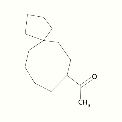 CC(=O)C1CCCCC2(CCCC2)CC1